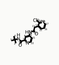 CC(C)(C)NC(=O)c1cc(NC(=O)Cc2cccnc2Cl)ccn1